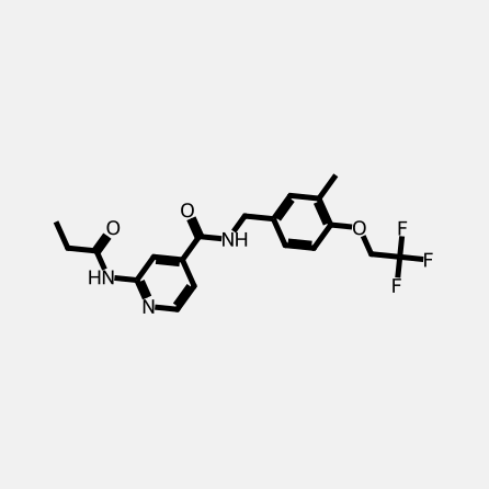 CCC(=O)Nc1cc(C(=O)NCc2ccc(OCC(F)(F)F)c(C)c2)ccn1